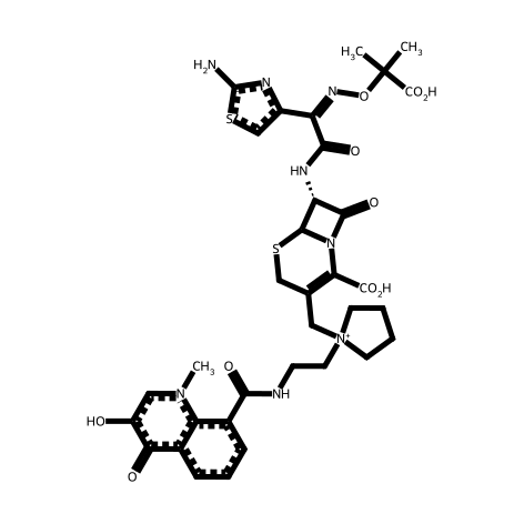 Cn1cc(O)c(=O)c2cccc(C(=O)NCC[N+]3(CC4=C(C(=O)O)N5C(=O)[C@@H](NC(=O)/C(=N\OC(C)(C)C(=O)O)c6csc(N)n6)C5SC4)CCCC3)c21